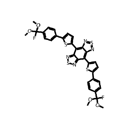 COC(F)(OC)c1ccc(-c2ccc(-c3c4c(c(-c5ccc(-c6ccc(C(F)(OC)OC)cc6)s5)c5nsnc35)N=S=N4)s2)cc1